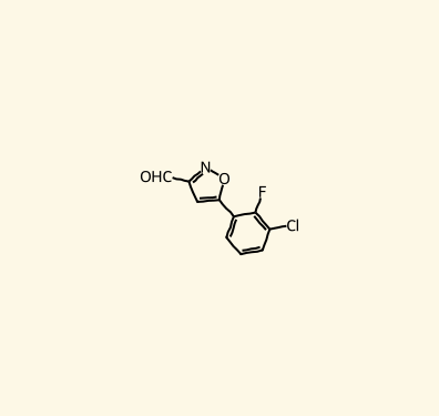 O=Cc1cc(-c2cccc(Cl)c2F)on1